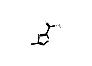 Cc1csc(C(N)=S)n1